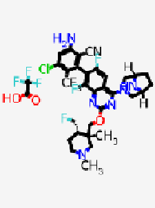 CN1CC[C@H](CF)[C@](C)(COc2nc(N3C[C@H]4CC[C@@H](C3)N4)c3cc(F)c(-c4c(C#N)c(N)cc(Cl)c4C(F)(F)F)c(F)c3n2)C1.O=C(O)C(F)(F)F